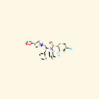 CN(C(=O)c1ccc(F)cc1F)[C@H](CN1CC(O)C1)C1CCC1